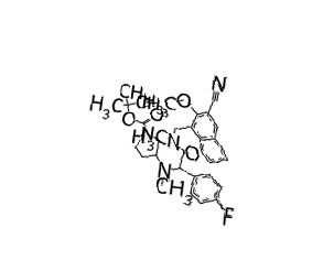 COc1c(C#N)cc2ccccc2c1CN(C)C(=O)C(c1ccc(F)cc1)N(C)C1CCN(C(=O)OC(C)(C)C)C1